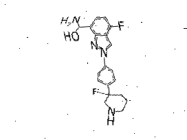 NC(O)c1ccc(F)c2cn(-c3ccc(C4(F)CCCNC4)cc3)nc12